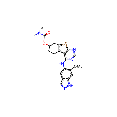 COc1cc2[nH]ncc2cc1Nc1ncnc2sc3c(c12)CCC(OC(=O)N(C)C(C)C)C3